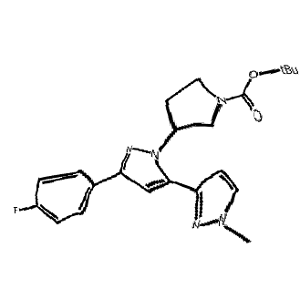 Cn1ccc(-c2cc(-c3ccc(F)cc3)nn2C2CCN(C(=O)OC(C)(C)C)C2)n1